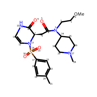 COCCN(C(=O)C[C@@H]1C(=O)NC=CN1S(=O)(=O)c1ccc(C)cc1)C1CCN(C)CC1